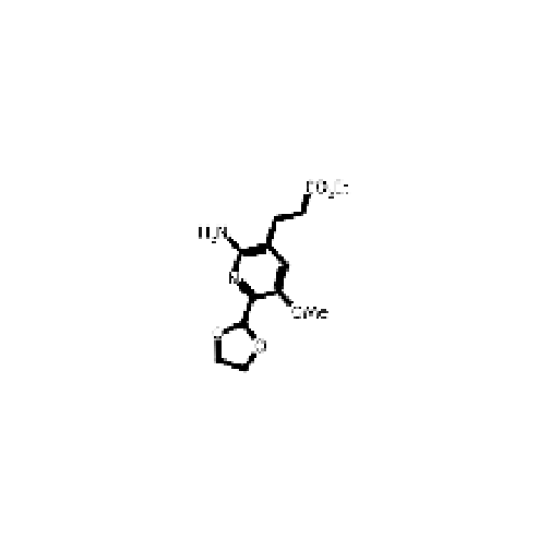 CCOC(=O)CCc1cc(OC)c(C2OCCO2)nc1N